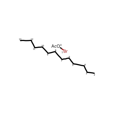 CC(=O)OBr.CCCCCCCCCCCC